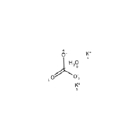 O.O=C([O-])[O-].[K+].[K+]